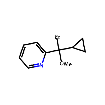 CCC(OC)(c1ccccn1)C1CC1